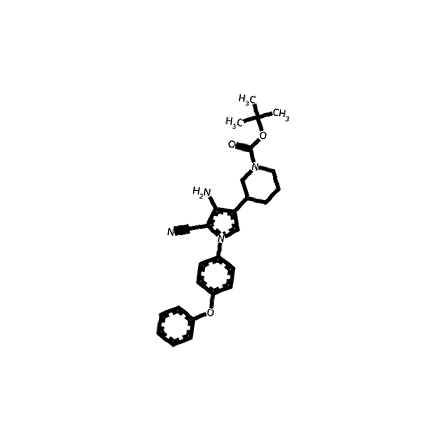 CC(C)(C)OC(=O)N1CCCC(c2cn(-c3ccc(Oc4ccccc4)cc3)c(C#N)c2N)C1